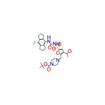 CC(=O)c1cc(S(=O)(=O)NC(=O)Nc2c3c(c(F)c4c2CCC4)CCC3)oc1CN1CCN(C(=O)OC(C)(C)C)CC1